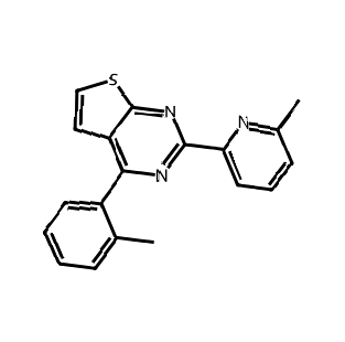 Cc1cccc(-c2nc(-c3ccccc3C)c3ccsc3n2)n1